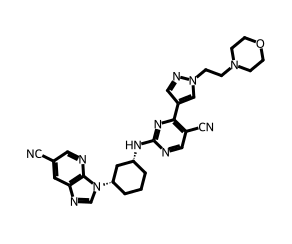 N#Cc1cnc2c(c1)ncn2[C@H]1CCC[C@@H](Nc2ncc(C#N)c(-c3cnn(CCN4CCOCC4)c3)n2)C1